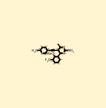 COc1c(-c2nc(N)nc(C)c2C#Cc2ccc(N)nc2)cccc1C(F)(F)F